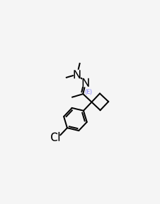 C/C(=N\N(C)C)C1(c2ccc(Cl)cc2)CCC1